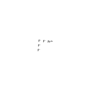 [F-].[F-].[F-].[F-].[Pr+4]